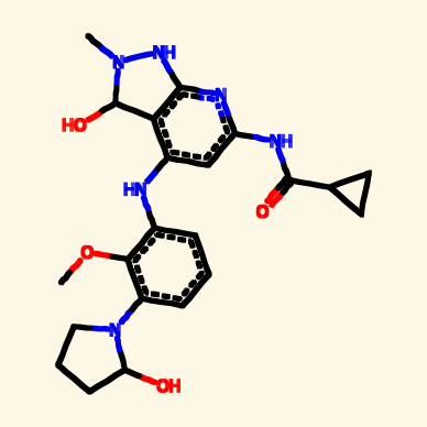 COc1c(Nc2cc(NC(=O)C3CC3)nc3c2C(O)N(C)N3)cccc1N1CCCC1O